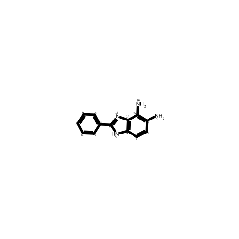 Nc1ccc2[nH]c(-c3ccccc3)nc2c1N